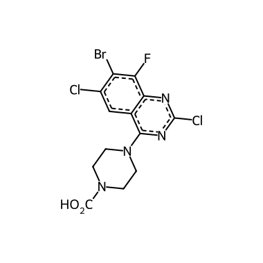 O=C(O)N1CCN(c2nc(Cl)nc3c(F)c(Br)c(Cl)cc23)CC1